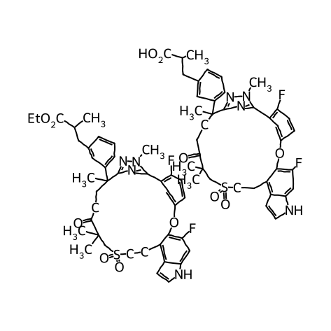 CC(Cc1cccc(C2(C)CCC(=O)C(C)(C)CS(=O)(=O)CCc3c(c(F)cc4[nH]ccc34)Oc3ccc(F)c(c3)-c3nc2nn3C)c1)C(=O)O.CCOC(=O)C(C)Cc1cccc(C2(C)CCC(=O)C(C)(C)CS(=O)(=O)CCc3c(c(F)cc4[nH]ccc34)Oc3ccc(F)c(c3)-c3nc2nn3C)c1